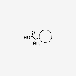 NC(C(=O)O)C1CCCCCCCCC1